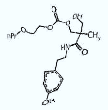 CCCOCCOC(=O)OCC(C)(CO)C(=O)NCCc1ccc(O)cc1